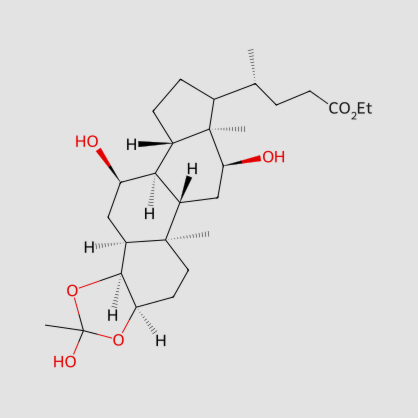 CCOC(=O)CC[C@@H](C)C1CC[C@H]2[C@@H]3[C@H](O)C[C@@H]4[C@@H]5OC(C)(O)O[C@@H]5CC[C@]4(C)[C@H]3C[C@H](O)[C@]12C